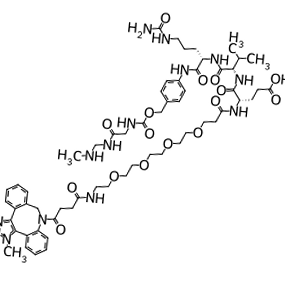 CNCNC(=O)CNC(=O)OCc1ccc(NC(=O)[C@H](CCCNC(N)=O)NC(=O)[C@@H](NC(=O)[C@H](CCC(=O)O)NC(=O)CCOCCOCCOCCOCCNC(=O)CCC(=O)N2Cc3ccccc3-c3nnn(C)c3-c3ccccc32)C(C)C)cc1